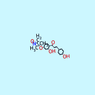 C=C(N=O)C(C)(C)Oc1ccc(C(=O)/C=C/c2ccc(O)cc2)c(O)c1